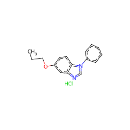 CCCOc1ccc2c(c1)ncn2-c1ccccc1.Cl